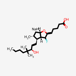 CCCCC(C)(C)[C@H](O)/C=C/[C@@H]1[C@H]2C(F)/C(=C/CCCC(=O)O)O[C@H]2C[C@H]1C.[NaH]